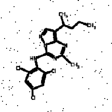 CCCC(C)c1cnn2c(Nc3c(Cl)cc(Cl)cc3Cl)nc(C)nc12